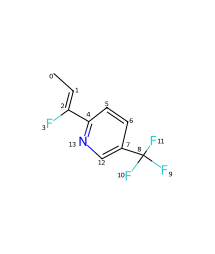 C/C=C(\F)c1ccc(C(F)(F)F)cn1